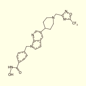 O=C(NO)c1ccc(Cn2ccc3cc(C4CCN(Cc5noc(C(F)(F)F)n5)CC4)cnc32)cc1